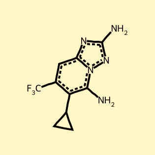 Nc1nc2cc(C(F)(F)F)c(C3CC3)c(N)n2n1